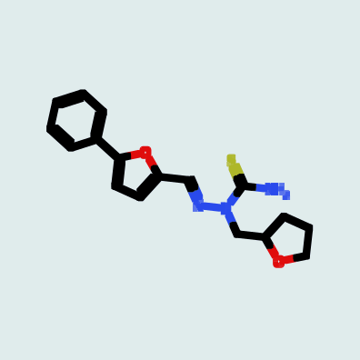 NC(=S)N(CC1CCCO1)N=Cc1ccc(-c2ccccc2)o1